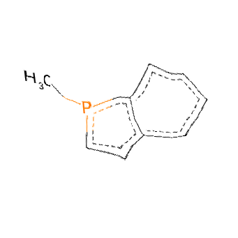 Cp1ccc2ccccc21